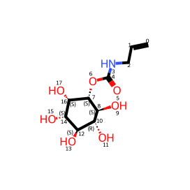 C=CCNC(=O)O[C@@H]1[C@@H](O)[C@H](O)[C@@H](O)[C@H](O)[C@@H]1O